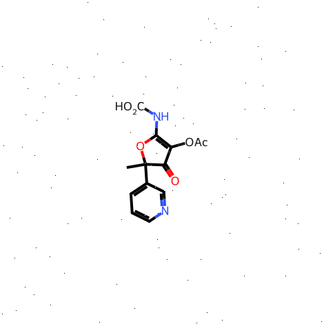 CC(=O)OC1=C(NC(=O)O)OC(C)(c2cccnc2)C1=O